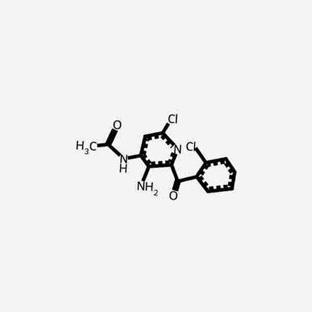 CC(=O)Nc1cc(Cl)nc(C(=O)c2ccccc2Cl)c1N